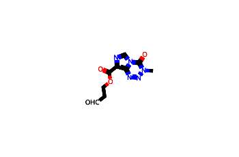 Cn1nnc2c(C(=O)OCCC=O)ncn2c1=O